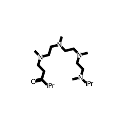 CC(C)C(=O)CCN(C)CCN(C)CCN(C)CCN(C)C(C)C